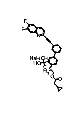 CC(C)(O)c1cc(-c2cccc(C#Cc3ccc4cc(F)c(F)cc4n3)c2)ccc1SCOC(=O)CC1CC1.[NaH]